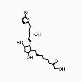 O=C(CO)CCCC=CC[C@@H]1[C@@H](C=C[C@@H](O)CCc2ccc(Br)s2)[C@H](O)C[C@@H]1O